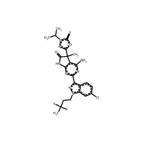 CC(C)n1nc(C2(C)C(=O)Nc3nc(-c4nn(CCC(C)(F)F)c5cc(Cl)ccc45)nc(N)c32)oc1=S